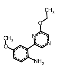 CCOc1cncc(-c2cc(OC)ccc2N)n1